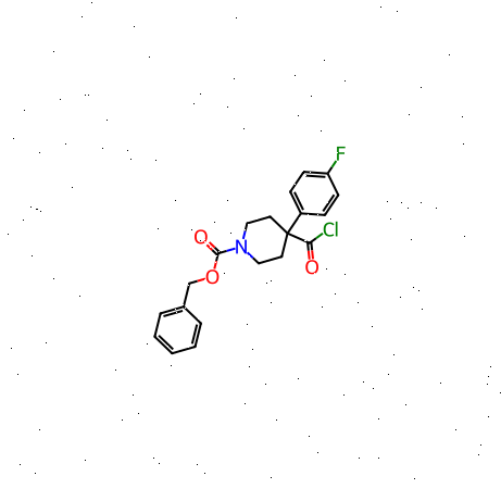 O=C(OCc1ccccc1)N1CCC(C(=O)Cl)(c2ccc(F)cc2)CC1